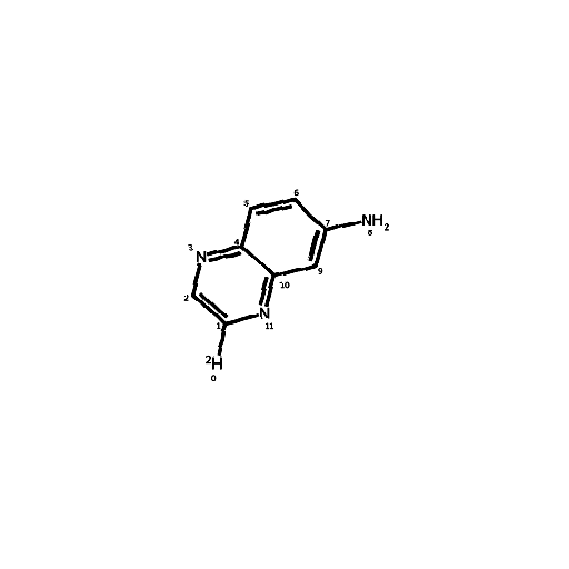 [2H]c1cnc2ccc(N)cc2n1